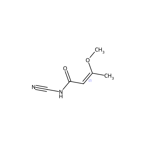 CO/C(C)=C\C(=O)NC#N